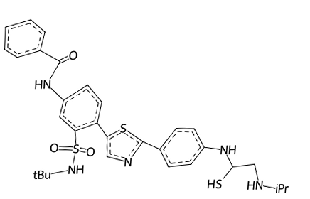 CC(C)NCC(S)Nc1ccc(-c2ncc(-c3ccc(NC(=O)c4ccccc4)cc3S(=O)(=O)NC(C)(C)C)s2)cc1